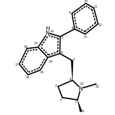 C[C@H]1CC[C@@H](Cc2c(-c3ccccc3)[nH]c3ccccc23)N1C